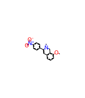 COc1cccc2c1CN(C)C(c1ccc([N+](=O)[O-])cc1)=C2